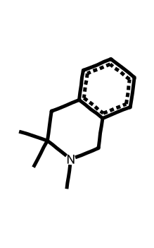 CN1Cc2ccccc2CC1(C)C